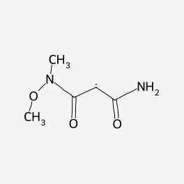 CON(C)C(=O)[CH]C(N)=O